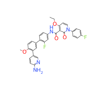 CCOc1ccn(-c2ccc(F)cc2)c(=O)c1C(=O)Nc1ccc(-c2ccc(OC)c(-c3ccc(N)nc3)c2)c(F)c1